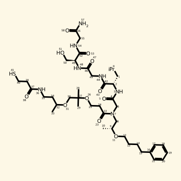 CC(C)C[C@H](NC(=O)CN(C[C@@H](C)OCCCCc1ccccc1)C(=O)CCOC(C)(C)COC(C)CCNC(=O)CCS)C(=O)NCC(=O)N[C@@H](CO)C(=O)NCC(N)=O